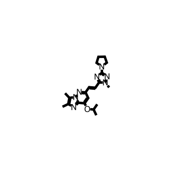 Cc1nc2c(OC(C)C)cc(C=Cc3nc(N4CCCC4)nn3C)nn2c1C